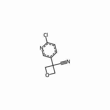 N#CC1(c2ccc(Cl)nc2)COC1